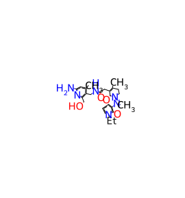 CCn1cccc(N(C)N2CCC(C)=C(CC(=O)NCc3c(C)cc(N)nc3CO)C2=O)c1=O